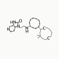 CC1(C)CCCCCCCCC(c2ccccccc(NCCn3c(=O)[nH]c4cnccc43)cc2)C1